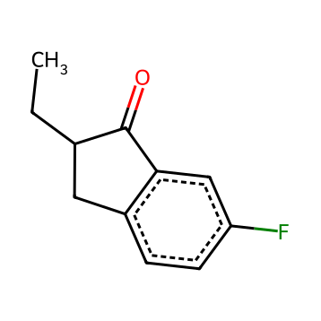 CCC1Cc2ccc(F)cc2C1=O